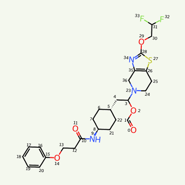 O=COC(C[C@H]1CC[C@H](NC(=O)CCOc2ccccc2)CC1)N1CCc2sc(OCC(F)F)nc2C1